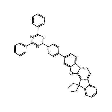 CCC1(CC)c2ccccc2-c2ccc3c(oc4cc(-c5ccc(-c6nc(-c7ccccc7)nc(-c7ccccc7)n6)cc5)ccc43)c21